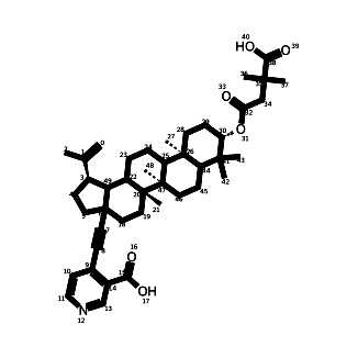 C=C(C)[C@@H]1CCC2(C#Cc3ccncc3C(=O)O)CC[C@]3(C)C(CCC4[C@@]5(C)CC[C@H](OC(=O)CC(C)(C)C(=O)O)C(C)(C)C5CC[C@]43C)C12